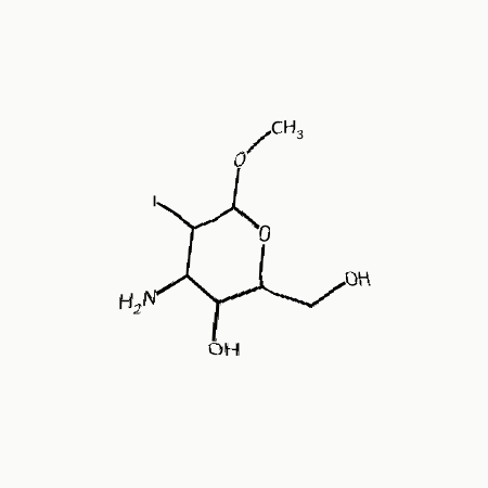 COC1OC(CO)C(O)C(N)C1I